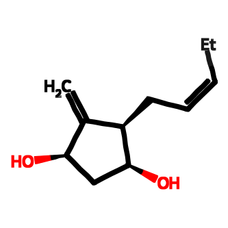 C=C1[C@H](O)C[C@H](O)[C@@H]1C/C=C\CC